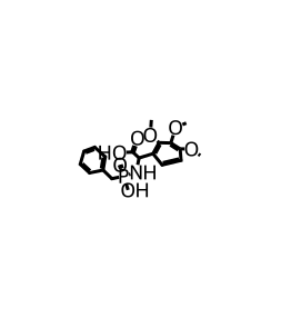 COc1ccc(C(NP(=O)(O)Cc2ccccc2)C(=O)O)c(OC)c1OC